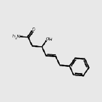 NC(=O)CC(O)/C=C/Cc1ccccc1